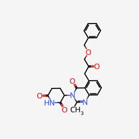 Cc1nc2cccc(CC(=O)COCc3ccccc3)c2c(=O)n1C1CCC(=O)NC1=O